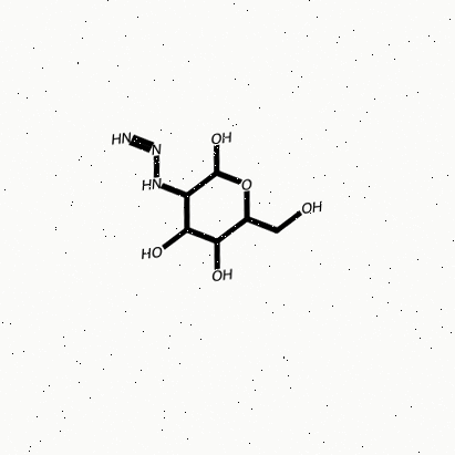 N=NNC1C(O)OC(CO)C(O)C1O